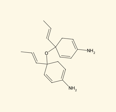 CC=CC1(OC2(C=CC)C=CC(N)=CC2)C=CC(N)=CC1